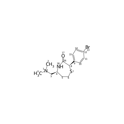 CN(C)C[C@@H]1CCS[C@H](c2ccc(Br)cc2)C(=O)N1